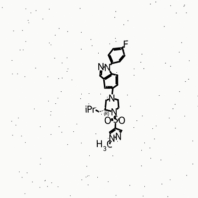 CC(C)C[C@@H]1CN(c2ccc3c(cnn3-c3ccc(F)cc3)c2)CCN1S(=O)(=O)c1cnn(C)c1